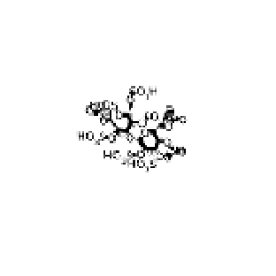 O=[SH](=O)OC[C@H](OS(=O)(=O)O)C(O[C@@H]1O[C@H](CO[SH](=O)=O)[C@@H](O[SH](=O)=O)[C@H](OS(=O)(=O)O)[C@H]1OS(=O)(=O)O)[C@H](OS(=O)(=O)O)[C@@H](COS(=O)(=O)O)OS(=O)(=O)O